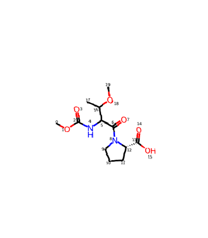 COC(=O)NC(C(=O)N1CCC[C@H]1C(=O)O)C(C)OC